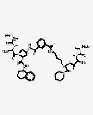 CN[C@@H](C)C(=O)NC(C(=O)N[C@@H](CCCCNC(=O)c1cccc(C(=O)N[C@H]2C[C@@H](C(=O)N[C@@H]3CCCc4ccccc43)N(C(=O)C(NC(=O)[C@H](C)NC)C(C)(C)C)C2)c1)C(=O)N1CCCCC1)C(C)(C)C